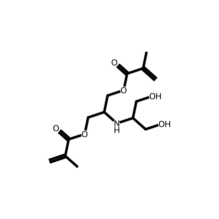 C=C(C)C(=O)OCC(COC(=O)C(=C)C)NC(CO)CO